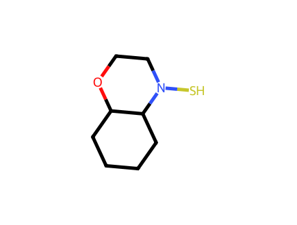 SN1CCOC2CCCCC21